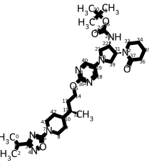 CC(C)c1noc(N2CCC([C@H](C)CCOc3ncc(N4C[C@H](NC(=O)OC(C)(C)C)[C@H](N5CCCCC5=O)C4)cn3)CC2)n1